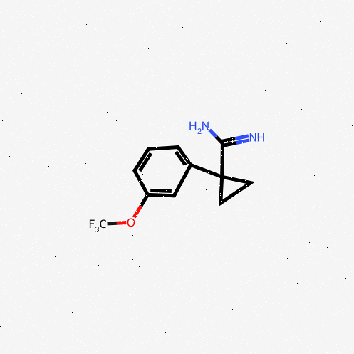 N=C(N)C1(c2cccc(OC(F)(F)F)c2)CC1